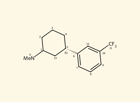 CNC1CCC[C@H](c2cccc(C(F)(F)F)c2)C1